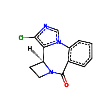 O=C1c2ccccc2-n2cnc(Cl)c2[C@@H]2CCN12